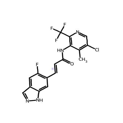 Cc1c(Cl)cnc(C(F)(F)F)c1NC(=O)/C=C/c1cc2[nH]ncc2cc1F